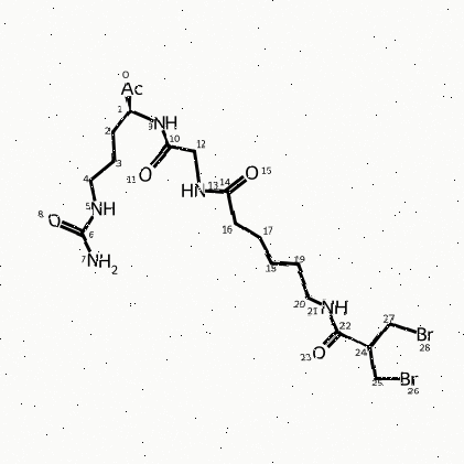 CC(=O)[C@H](CCCNC(N)=O)NC(=O)CNC(=O)CCCCCNC(=O)C(CBr)CBr